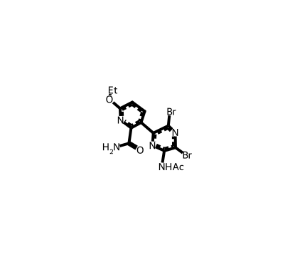 CCOc1ccc(-c2nc(NC(C)=O)c(Br)nc2Br)c(C(N)=O)n1